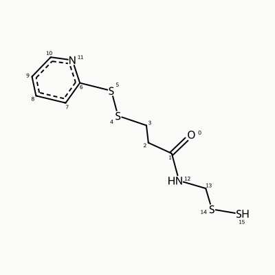 O=C(CCSSc1ccccn1)NCSS